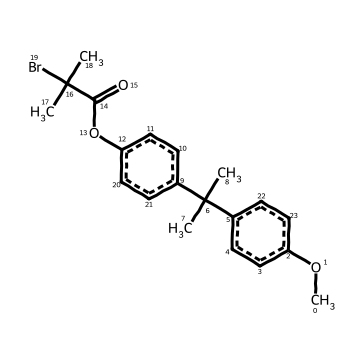 COc1ccc(C(C)(C)c2ccc(OC(=O)C(C)(C)Br)cc2)cc1